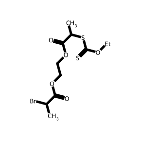 CCOC(=S)SC(C)C(=O)OCCOC(=O)C(C)Br